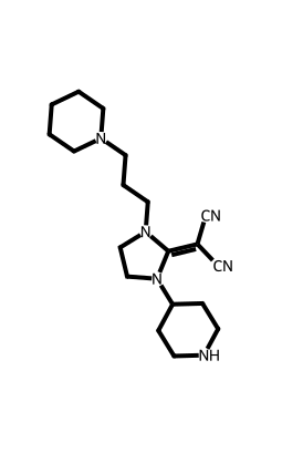 N#CC(C#N)=C1N(CCCN2CCCCC2)CCN1C1CCNCC1